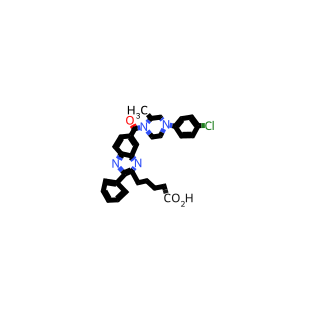 CC1CN(c2ccc(Cl)cc2)CCN1C(=O)c1ccc2nc(-c3ccccc3)c(CCCCC(=O)O)nc2c1